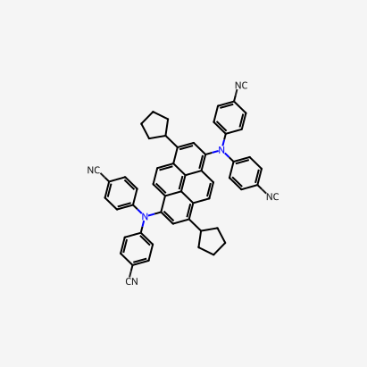 [C-]#[N+]c1ccc(N(c2ccc([N+]#[C-])cc2)c2cc(C3CCCC3)c3ccc4c(N(c5ccc(C#N)cc5)c5ccc(C#N)cc5)cc(C5CCCC5)c5ccc2c3c54)cc1